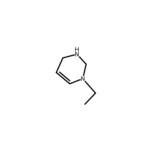 CCN1C=CCNC1